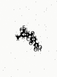 O=C1CC(N2CCN(C(=O)c3nn4c(C(F)(F)F)cc(C5CC5)cc4c3Cl)CC2=O)CN1O